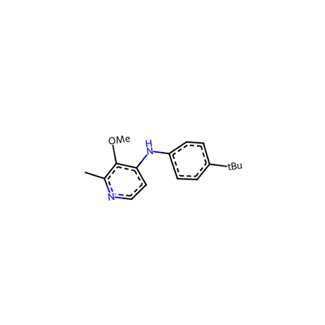 COc1c(Nc2ccc(C(C)(C)C)cc2)ccnc1C